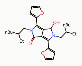 CCCCC(CC)CN1C(=O)C2=C(c3ccco3)N(CC(CC)CCCC)C(O)C2=C1c1ccco1